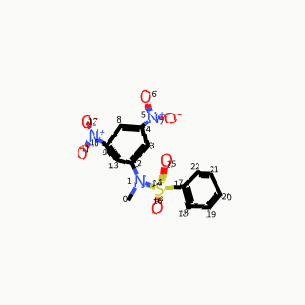 CN(c1cc([N+](=O)[O-])cc([N+](=O)[O-])c1)S(=O)(=O)c1ccccc1